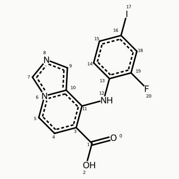 O=C(O)c1ccn2cncc2c1Nc1ccc(I)cc1F